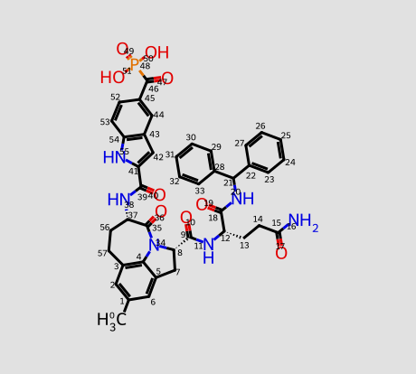 Cc1cc2c3c(c1)C[C@@H](C(=O)N[C@@H](CCC(N)=O)C(=O)NC(c1ccccc1)c1ccccc1)N3C(=O)[C@@H](NC(=O)c1cc3cc(C(=O)P(=O)(O)O)ccc3[nH]1)CC2